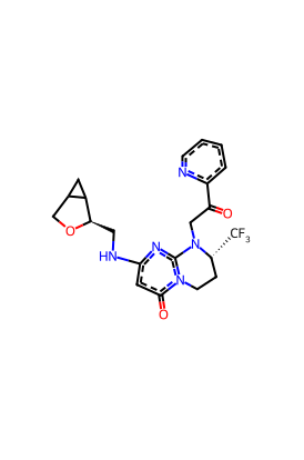 O=C(CN1c2nc(NC[C@H]3OCC4CC43)cc(=O)n2CC[C@H]1C(F)(F)F)c1ccccn1